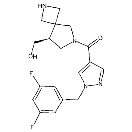 O=C(c1cnn(Cc2cc(F)cc(F)c2)c1)N1C[C@@H](CO)C2(CNC2)C1